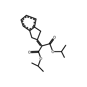 CC(C)OC(=O)C(C(=O)OC(C)C)=C1Cc2ccccc2C1